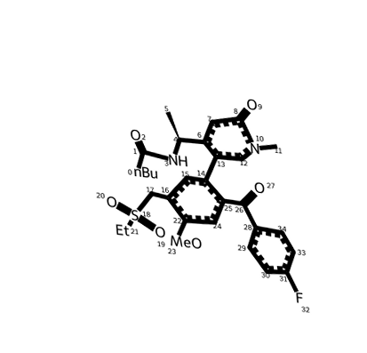 CCCCC(=O)N[C@@H](C)c1cc(=O)n(C)cc1-c1cc(CS(=O)(=O)CC)c(OC)cc1C(=O)c1ccc(F)cc1